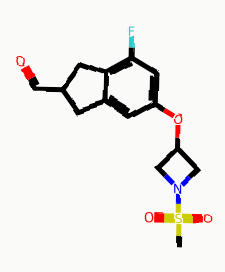 CS(=O)(=O)N1CC(Oc2cc(F)c3c(c2)CC(C=O)C3)C1